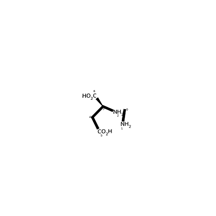 CN.N[C@@H](CC(=O)O)C(=O)O